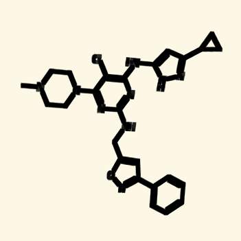 CN1CCN(c2nc(NCc3cc(-c4ccccc4)no3)nc(Nc3cc(C4CC4)n[nH]3)c2Cl)CC1